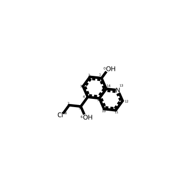 Oc1ccc(C(O)CCl)c2cccnc12